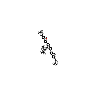 C=C(C)C(=O)OCCCC1(COC(=O)C(=C)C)c2cc(-c3ccc4c(c3)C(C)(C)c3cc(CCOC(=O)C(=C)C)ccc3-4)ccc2-c2ccc(-c3ccc4c(c3)C(C)(C)c3cc(C(C)OC(=O)C(=C)C)ccc3-4)cc21